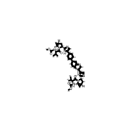 COC(=O)N[C@H](C(=O)N1[C@@H]2C[C@@H]2C[C@H]1c1ncc(-c2ccc(-c3ccc4nc(-c5cnc([C@@H]6C[C@H]7C[C@H]7N6C(=O)[C@@H](NC(=O)OC)C(C)C)[nH]5)cnc4c3)cc2)[nH]1)C(C)C